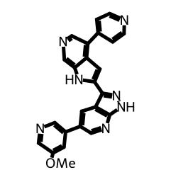 COc1cncc(-c2cnc3[nH]nc(-c4cc5c(-c6ccncc6)cncc5[nH]4)c3c2)c1